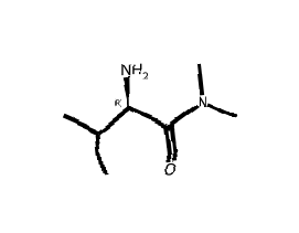 CC(C)[C@@H](N)C(=O)N(C)C